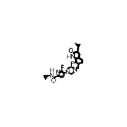 O=C(NC1CC1)c1ccc(N2CCN(Cc3ccc4cc(C5CC5)c(=O)[nH]c4c3F)CC2)c(F)n1